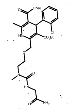 CCOC(=O)C1=C(COCCN(C)C(=O)NCC(N)=O)NC(C)=C(C(=O)OC)C1c1ccccc1Cl